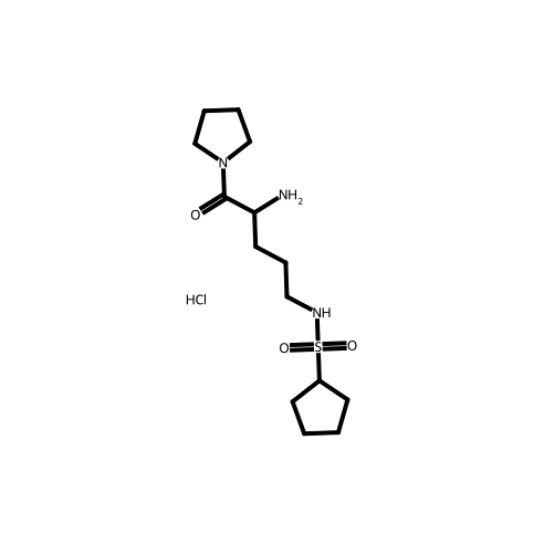 Cl.NC(CCCNS(=O)(=O)C1CCCC1)C(=O)N1CCCC1